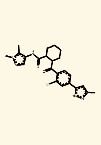 Cc1cc(-c2ccc(C(=O)C3CCCCC3C(=O)Nc3cnn(C)c3C)c(Cl)c2)[nH]n1